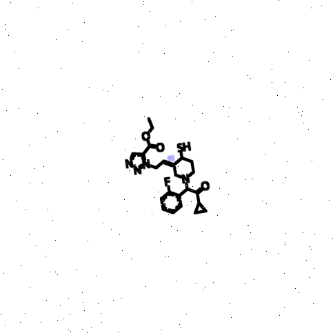 CCOC(=O)c1cnnn1C/C=C1\CN(C(C(=O)C2CC2)c2ccccc2F)CCC1S